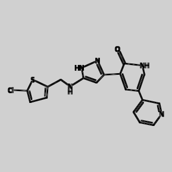 O=c1[nH]cc(-c2cccnc2)cc1-c1cc(NCc2ccc(Cl)s2)[nH]n1